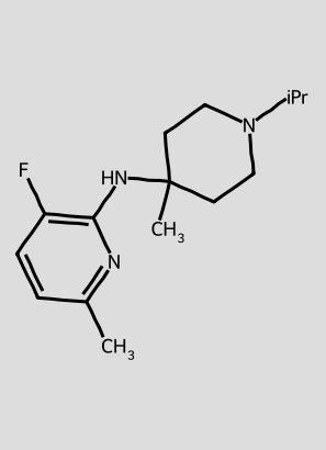 Cc1ccc(F)c(NC2(C)CCN(C(C)C)CC2)n1